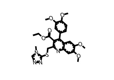 CCOC(=O)c1c(CSc2nncn2C)nc2cc(OC)c(OC)cc2c1-c1ccc(OC)c(OC)c1